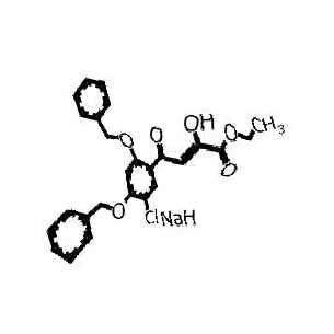 CCOC(=O)C(O)=CC(=O)c1cc(Cl)c(OCc2ccccc2)cc1OCc1ccccc1.[NaH]